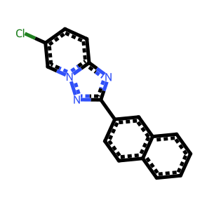 Clc1ccc2nc(-c3ccc4ccccc4c3)nn2c1